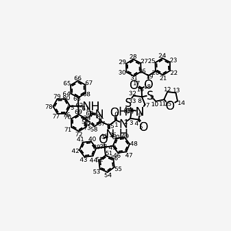 O=C(NC1C(=O)N2CC(SCC3CCCO3)(C(=O)OC(c3ccccc3)c3ccccc3)CS[C@H]12)C(=NOC(c1ccccc1)(c1ccccc1)c1ccccc1)c1csc(NC(c2ccccc2)(c2ccccc2)c2ccccc2)n1